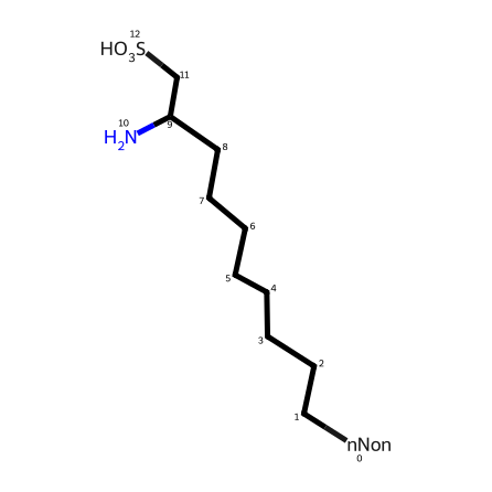 CCCCCCCCCCCCCCCCCC(N)CS(=O)(=O)O